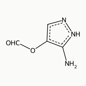 Nc1[nH]ncc1OC=O